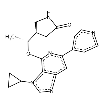 C[C@@H](Oc1nc(-c2ccncc2)cc2ncn(C3CC3)c12)[C@H]1CNC(=O)C1